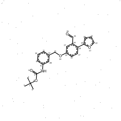 CC(C)(C)OC(=O)Nc1cccc(COc2ccc(-c3ccco3)c(C=O)c2)c1